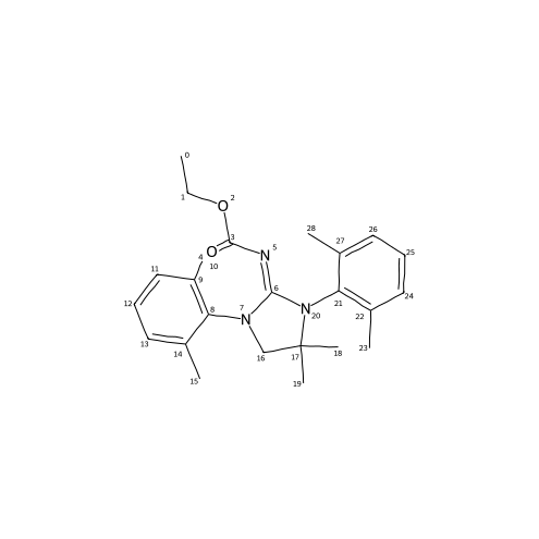 CCOC(=O)N=C1N(c2c(C)cccc2C)CC(C)(C)N1c1c(C)cccc1C